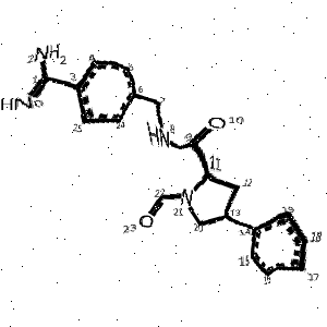 N=C(N)c1ccc(CNC(=O)C2CC(c3ccccc3)CN2C=O)cc1